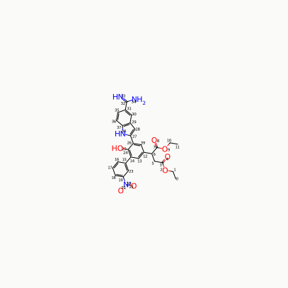 CCOC(=O)CC(C(=O)OCC)c1cc(-c2cccc([N+](=O)[O-])c2)c(O)c(-c2cc3cc(C(=N)N)ccc3[nH]2)c1